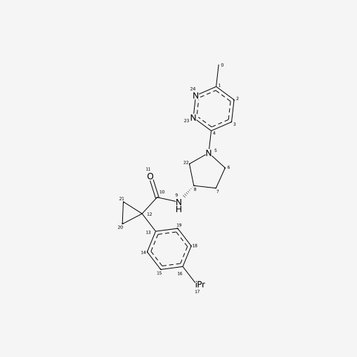 Cc1ccc(N2CC[C@H](NC(=O)C3(c4ccc(C(C)C)cc4)CC3)C2)nn1